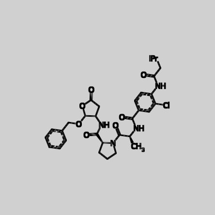 CC(C)CC(=O)Nc1ccc(C(=O)N[C@@H](C)C(=O)N2CCC[C@H]2C(=O)NC2CC(=O)OC2OCc2ccccc2)cc1Cl